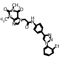 CCc1ccccc1-n1cc(-c2ccc(NC(=O)Cn3cnc4c3c(=O)n(C)c(=O)n4C)cc2)nn1